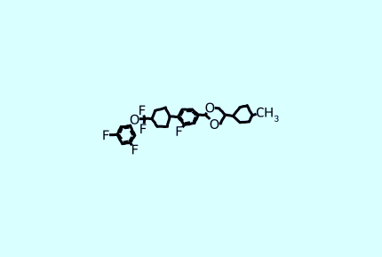 CC1CCC(C2COC(c3ccc(C4CCC(C(F)(F)Oc5cc(F)cc(F)c5)CC4)c(F)c3)OC2)CC1